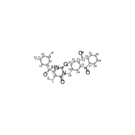 CCc1c(C(=O)c2cc(C)cc(C)c2)[nH]c(=O)n(Cc2ccc3c(c2)C(=O)c2ccccc2C3=O)c1=O